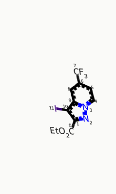 CCOC(=O)c1nn2ccc(C(F)(F)F)cc2c1I